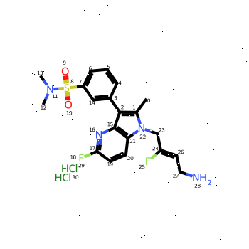 Cc1c(-c2cccc(S(=O)(=O)N(C)C)c2)c2nc(F)ccc2n1C/C(F)=C/CN.Cl.Cl